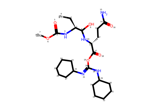 CC(C)C[C@H](NC(=O)OC(C)(C)C)C(O)N[C@H](CCC(N)=O)C(=O)O/C(=N\C1CCCCC1)NC1CCCCC1